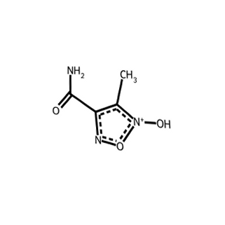 Cc1c(C(N)=O)no[n+]1O